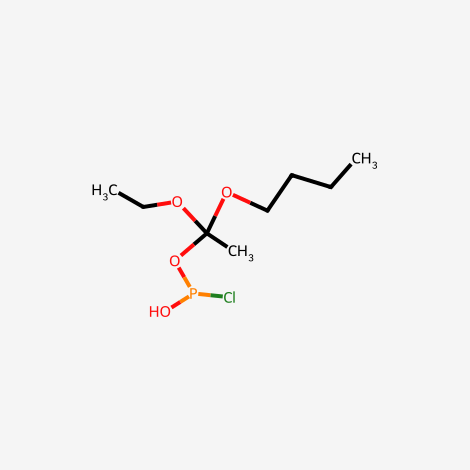 CCCCOC(C)(OCC)OP(O)Cl